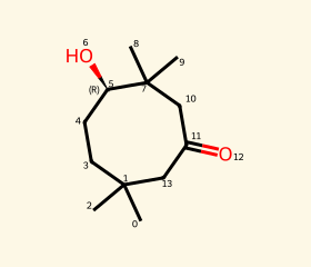 CC1(C)CC[C@@H](O)C(C)(C)CC(=O)C1